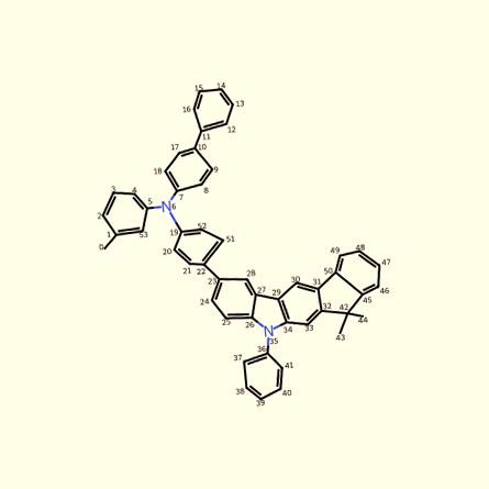 Cc1cccc(N(c2ccc(-c3ccccc3)cc2)c2ccc(-c3ccc4c(c3)c3cc5c(cc3n4-c3ccccc3)C(C)(C)c3ccccc3-5)cc2)c1